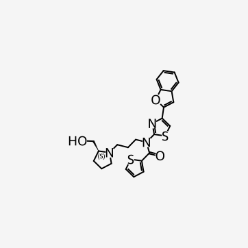 O=C(c1cccs1)N(CCCN1CCC[C@H]1CO)c1nc(-c2cc3ccccc3o2)cs1